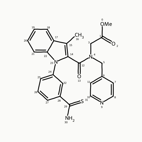 COC(=O)CN(Cc1ccncc1)C(=O)c1c(C)c2ccccc2n1-c1cccc(C(N)=S)c1